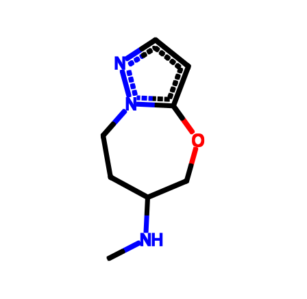 CNC1CCn2nccc2OC1